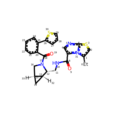 CCc1csc2ncc(C(=O)NC[C@@H]3[C@H]4C[C@H]4CN3C(=O)c3ccccc3-c3cccs3)n12